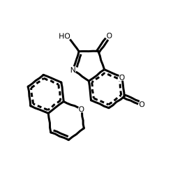 C1=Cc2ccccc2OC1.O=C1C(O)=Nc2ccc(=O)oc21